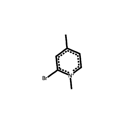 Cc1cc[n+](C)c(Br)c1